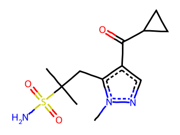 Cn1ncc(C(=O)C2CC2)c1CC(C)(C)S(N)(=O)=O